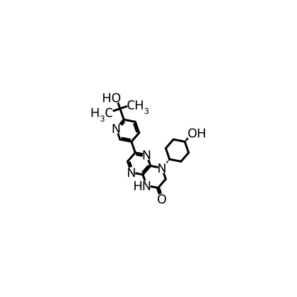 CC(C)(O)c1ccc(-c2cnc3c(n2)N([C@H]2CC[C@H](O)CC2)CC(=O)N3)cn1